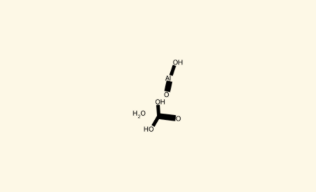 O.O=C(O)O.[O]=[Al][OH]